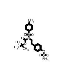 Cc1ccc(S(=O)(=O)N(CCc2ccc(OS(N)(=O)=O)cc2)C(=O)OC(C)(C)C)cc1